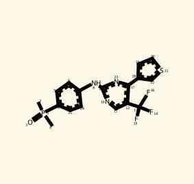 CP(C)(=O)c1ccc(Nc2ncc(C(F)(F)F)c(-c3ccsc3)n2)cc1